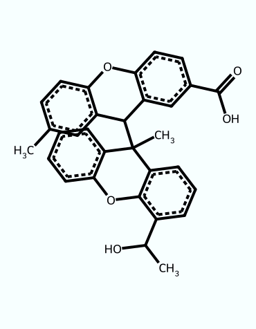 Cc1ccc2c(c1)C(C1(C)c3ccccc3Oc3c(C(C)O)cccc31)c1cc(C(=O)O)ccc1O2